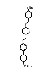 CCCCCC1CCC(c2ccc(CCC3CCC(CCC4CCC(CCCC)CC4)CC3)cc2)CC1